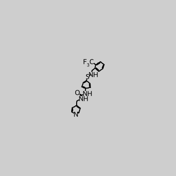 O=C(NCc1ccncc1)Nc1ccc(SNCc2ccccc2C(F)(F)F)cc1